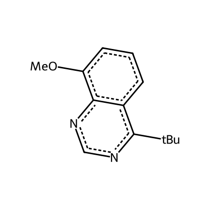 COc1cccc2c(C(C)(C)C)ncnc12